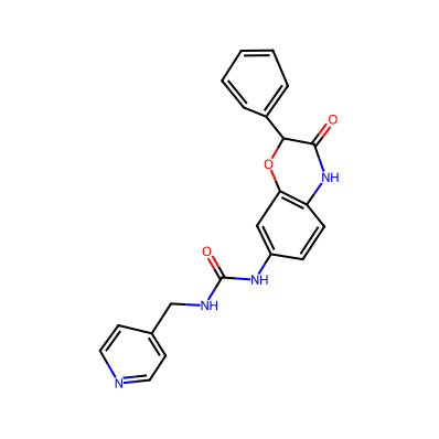 O=C(NCc1ccncc1)Nc1ccc2c(c1)OC(c1ccccc1)C(=O)N2